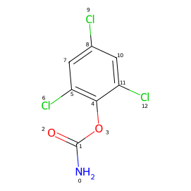 NC(=O)Oc1c(Cl)cc(Cl)cc1Cl